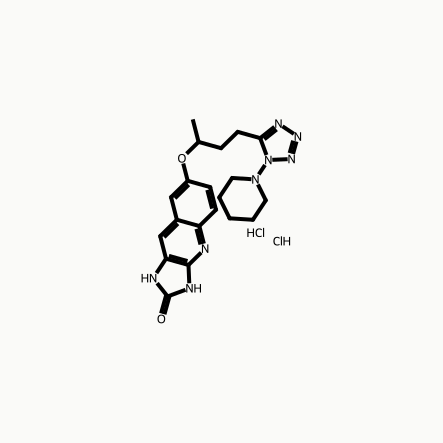 CC(CCc1nnnn1N1CCCCC1)Oc1ccc2nc3[nH]c(=O)[nH]c3cc2c1.Cl.Cl